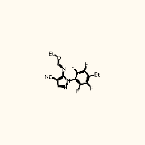 CCO/C=N/c1c(C#N)cnn1-c1c(F)c(F)c(CC)c(F)c1F